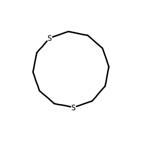 C1CCCSCCCCSCC1